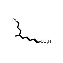 CC(C)CCCC(C)C/C=C/C=C/C(=O)O